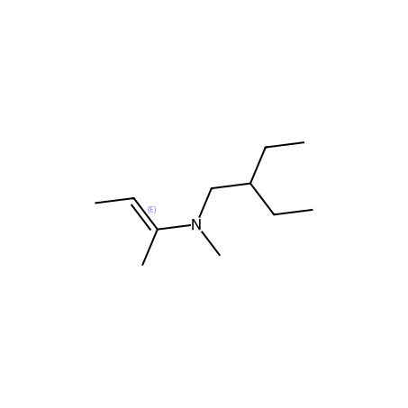 C/C=C(\C)N(C)CC(CC)CC